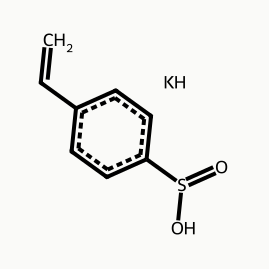 C=Cc1ccc(S(=O)O)cc1.[KH]